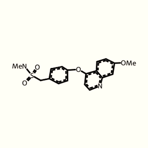 CNS(=O)(=O)Cc1ccc(Oc2ccnc3cc(OC)ccc23)cc1